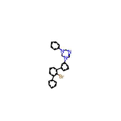 Brc1c(-c2ccccc2)cccc1-c1cccc(N2C=NCN(c3ccccc3)C2)c1